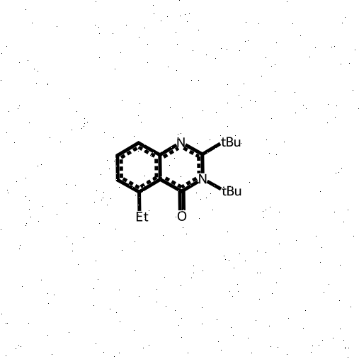 CCc1cccc2nc(C(C)(C)C)n(C(C)(C)C)c(=O)c12